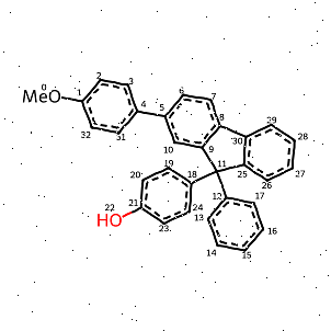 COc1ccc(-c2ccc3c(c2)C(c2ccccc2)(c2ccc(O)cc2)c2ccccc2-3)cc1